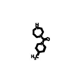 CC1CCN(C(=O)N2CCCNCC2)CC1